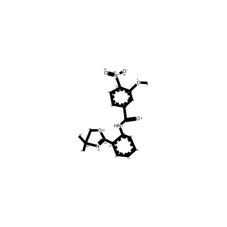 COc1cc(C(=O)Nc2ccccc2C2=NC(C)(C)CO2)ccc1[N+](=O)[O-]